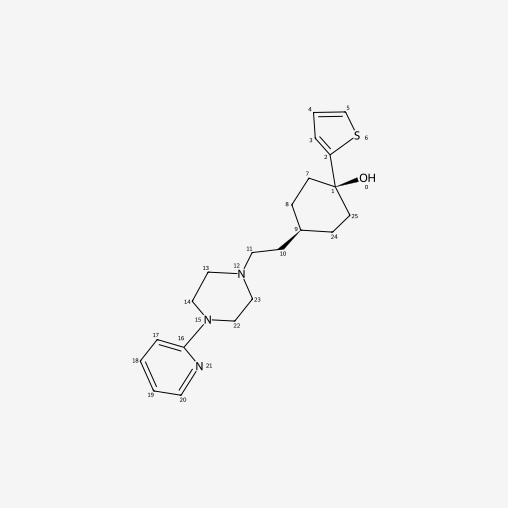 O[C@]1(c2cccs2)CC[C@H](CCN2CCN(c3ccccn3)CC2)CC1